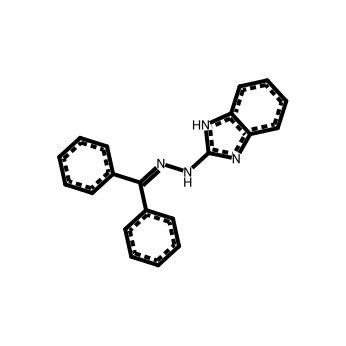 c1ccc(C(=NNc2nc3ccccc3[nH]2)c2ccccc2)cc1